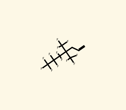 C=CCC(C(F)(F)F)(C(F)(F)F)C(F)(F)C(F)(F)C(F)(F)F